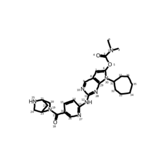 CN(C)C(=O)Oc1cc2cnc(Nc3ccc(C(=O)N4CC5CC4CN5)cn3)nc2n1C1CCCCCC1